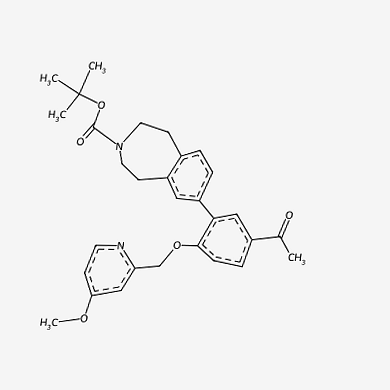 COc1ccnc(COc2ccc(C(C)=O)cc2-c2ccc3c(c2)CCN(C(=O)OC(C)(C)C)CC3)c1